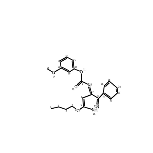 CCCCOc1cc(=NC(=O)Oc2cccc(OC)c2)c(-c2ccccc2)n[nH]1